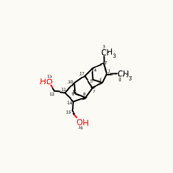 CC1C(C)C2CC1C1C3CC(C(CO)C3CO)C21